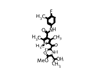 COC(=O)[C@H](NC(=O)C(=O)c1c(C)c(C(=O)Nc2ccc(F)c(C)c2)c(C)n1C)[C@H](C)O